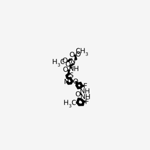 COC(=O)CN(CCNC(=O)c1cc2nccc(Oc3ccc(NC(=O)Nc4cc(C)ccc4F)c(F)c3)c2s1)CC(=O)OC